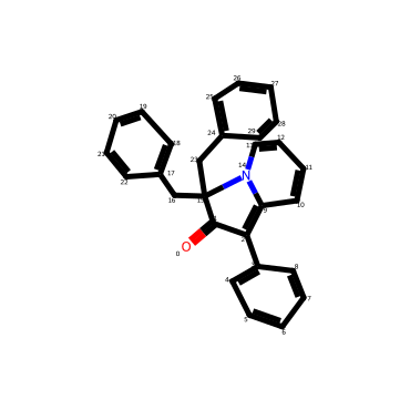 O=C1C(c2ccccc2)=C2C=CC=CN2C1(Cc1ccccc1)Cc1ccccc1